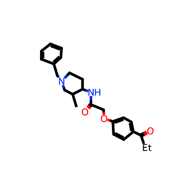 CCC(=O)c1ccc(OCC(=O)NC2CCN(Cc3ccccc3)CC2C)cc1